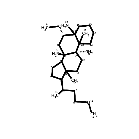 CC[C@H]1CC2(N)C3CCC(C(C)CCOC)C3(C)CC[C@]2(N)C2(C)CCCCC12N